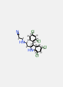 N#CCCNCCc1[nH]c2c(Cl)cc(Cl)cc2c1-c1ccc(Cl)cc1Cl